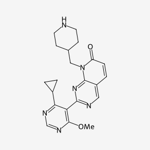 COc1ncnc(C2CC2)c1-c1ncc2ccc(=O)n(CC3CCNCC3)c2n1